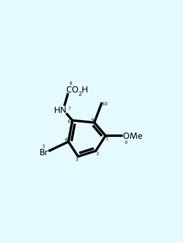 COc1ccc(Br)c(NC(=O)O)c1C